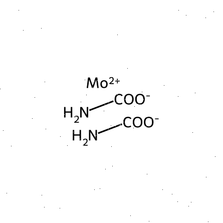 NC(=O)[O-].NC(=O)[O-].[Mo+2]